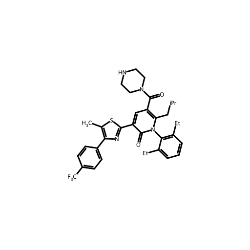 CCc1cccc(CC)c1-n1c(CC(C)C)c(C(=O)N2CCNCC2)cc(-c2nc(-c3ccc(C(F)(F)F)cc3)c(C)s2)c1=O